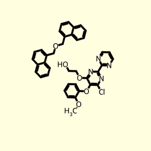 COc1ccccc1Oc1c(Cl)nc(-c2ncccn2)nc1OCCO.c1ccc2c(COCc3cccc4ccccc34)cccc2c1